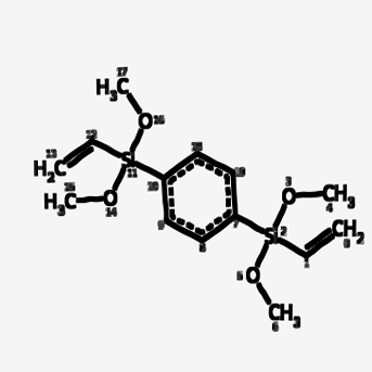 C=C[Si](OC)(OC)c1ccc([Si](C=C)(OC)OC)cc1